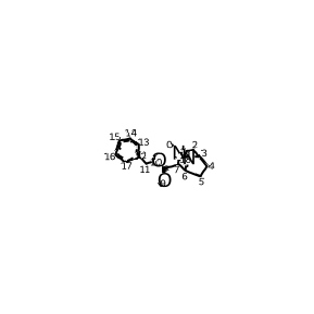 CN1CC2CCC(C1C(=O)OCc1ccccc1)N2C